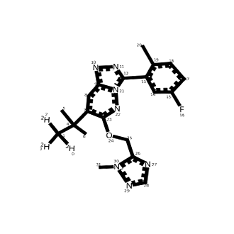 [2H]C([2H])([2H])C(C)(C)c1cc2nnc(-c3cc(F)ccc3C)n2nc1OCc1ncnn1C